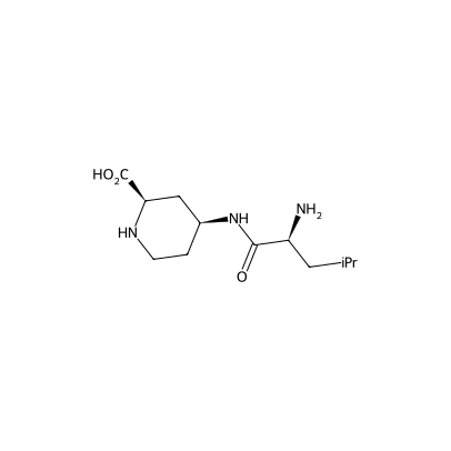 CC(C)C[C@H](N)C(=O)N[C@H]1CCN[C@@H](C(=O)O)C1